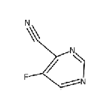 N#Cc1ncn[c]c1F